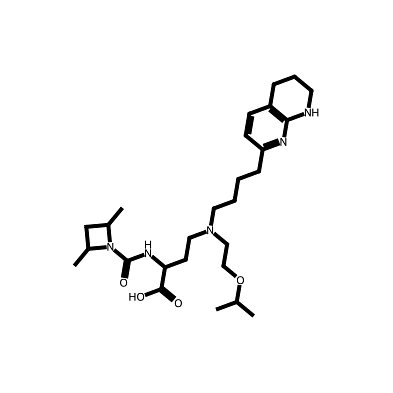 CC(C)OCCN(CCCCc1ccc2c(n1)NCCC2)CCC(NC(=O)N1C(C)CC1C)C(=O)O